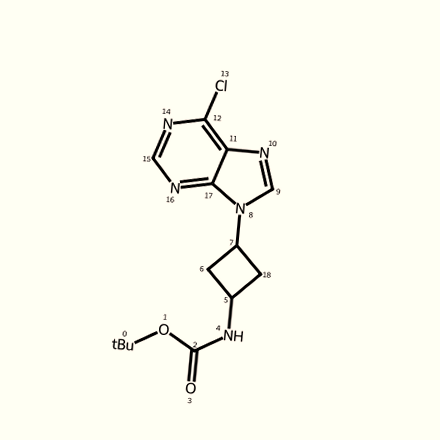 CC(C)(C)OC(=O)NC1CC(n2cnc3c(Cl)ncnc32)C1